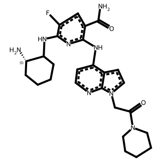 NC(=O)c1cc(F)c(NC2CCCC[C@@H]2N)nc1Nc1ccnc2c1ccn2CC(=O)N1CCCCC1